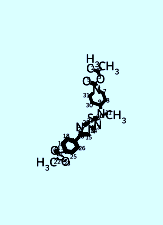 CC(C)OC(=O)N1CCC(N(C)c2nn3cc(-c4ccc(S(C)(=O)=O)cc4)nc3s2)CC1